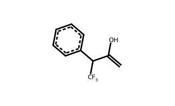 C=C(O)C(c1ccccc1)C(F)(F)F